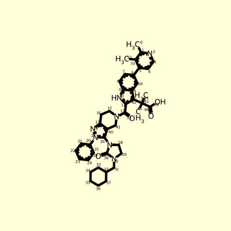 Cc1nccc(-c2ccc3[nH]c(C(=O)N4CCc5nn(-c6ccccc6)c(N6CCN(CC7CCCCC7)C6=O)c5C4)c(C(C)(C)C(=O)O)c3c2)c1C